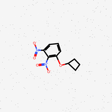 O=[N+]([O-])c1cccc(OC2CCC2)c1[N+](=O)[O-]